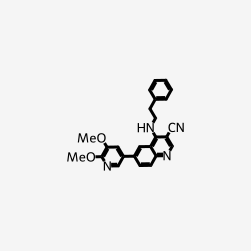 COc1cc(-c2ccc3ncc(C#N)c(NCCc4ccccc4)c3c2)cnc1OC